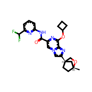 C[C@]12CC[C@](c3cn4cc(C(=O)Nc5cccc(C(F)F)n5)nc(OC5CCC5)c4n3)(CO1)C2